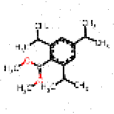 COB(OC)c1c(C(C)C)cc(C(C)C)cc1C(C)C